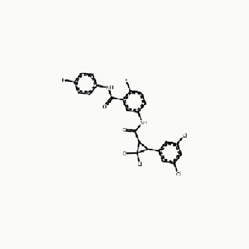 O=C(Nc1ccc(F)cc1)c1cc(NC(=O)C2C(c3cc(Cl)cc(Cl)c3)C2(Cl)Cl)ccc1F